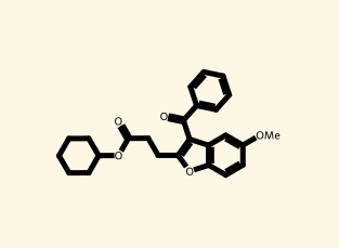 COc1ccc2oc(CCC(=O)OC3CCCCC3)c(C(=O)c3ccccc3)c2c1